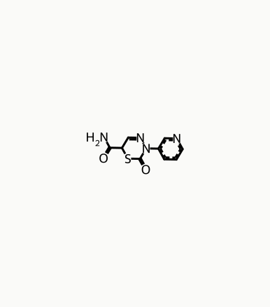 NC(=O)C1C=NN(c2cccnc2)C(=O)S1